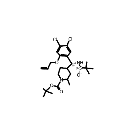 C=CCOc1cc(Cl)c(Cl)cc1[C@H](N[S@@+]([O-])C(C)(C)C)C1CCN(C(=O)OC(C)(C)C)C(C)C1